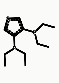 CCP(CC)c1cscc1P(CC)CC